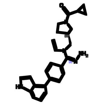 C=CN(C[C@@H]1CCN(C(=O)C2CC2)C1)/C(=N\N)c1ccc(-c2cccc3[nH]ccc23)cc1